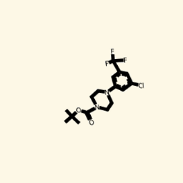 CC(C)(C)OC(=O)N1CCN(c2cc(Cl)cc(C(F)(F)F)c2)CC1